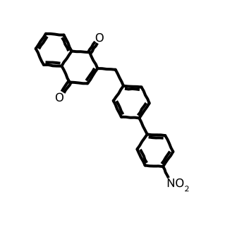 O=C1C=C(Cc2ccc(-c3ccc([N+](=O)[O-])cc3)cc2)C(=O)c2ccccc21